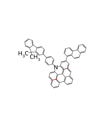 CC1(C)c2ccccc2-c2ccc(-c3ccc(N(c4cccc(-c5cccc6c5ccc5ccccc56)c4)c4ccccc4-c4cccc5cccc(-c6ccccc6)c45)cc3)cc21